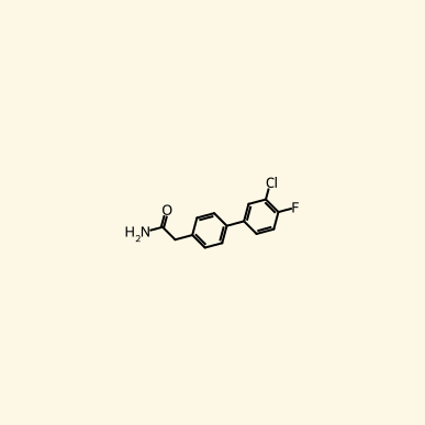 NC(=O)Cc1ccc(-c2ccc(F)c(Cl)c2)cc1